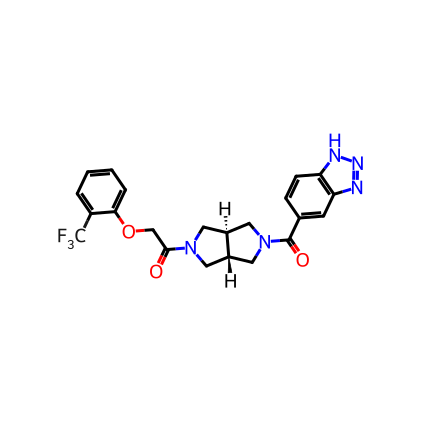 O=C(COc1ccccc1C(F)(F)F)N1C[C@H]2CN(C(=O)c3ccc4[nH]nnc4c3)C[C@@H]2C1